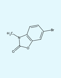 [CH2]n1c(=O)oc2cc(Br)ccc21